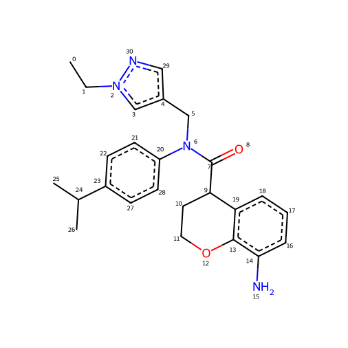 CCn1cc(CN(C(=O)C2CCOc3c(N)cccc32)c2ccc(C(C)C)cc2)cn1